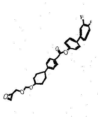 O=C(Oc1ccc(-c2ccc(F)c(F)c2)cc1)c1ccc(C2CCC(OCOCC3CO3)CC2)cc1